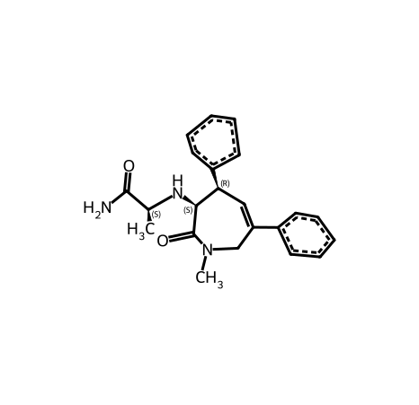 C[C@H](N[C@@H]1C(=O)N(C)CC(c2ccccc2)=C[C@@H]1c1ccccc1)C(N)=O